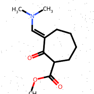 COC(=O)C1CCCCC(=CN(C)C)C1=O